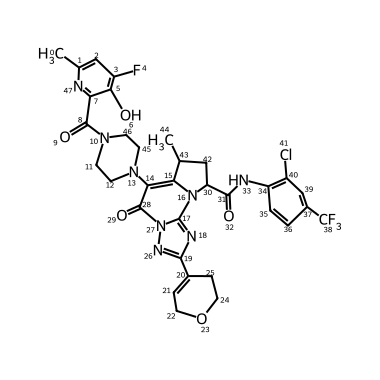 Cc1cc(F)c(O)c(C(=O)N2CCN(c3c4n(c5nc(C6=CCOCC6)nn5c3=O)C(C(=O)Nc3ccc(C(F)(F)F)cc3Cl)CC4C)CC2)n1